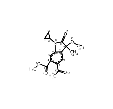 COC(=O)c1cc2c(cc1C(C)=O)C(C)(OC)C(=O)N2C1CC1